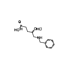 Cl.O=C(CC[PH](=O)O)CNCc1ccccc1